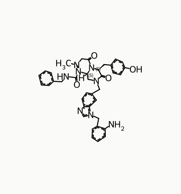 CN1CC(=O)N2[C@@H](Cc3ccc(O)cc3)C(=O)N(Cc3ccc4ncn(Cc5ccccc5N)c4c3)C[C@@H]2N1C(=O)NCc1ccccc1